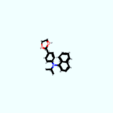 CC(C)N(c1ccc(C2OCCO2)cc1)c1cccc2ccccc12